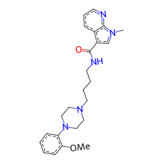 COc1ccccc1N1CCN(CCCCNC(=O)c2cn(C)c3ncccc23)CC1